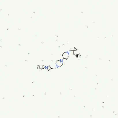 CC(C)CC1(CN2CCC(N3CCN(CC4CN(C)C4)CC3)CC2)CC1